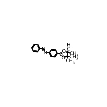 CC1(C)OB(c2ccc(/N=N/c3ccccc3)cc2)OC1(C)C